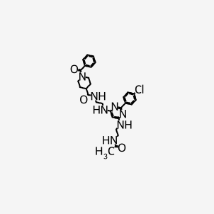 CC(=O)NCCNc1cc(NCCNC(=O)C2CCN(C(=O)c3ccccc3)CC2)nc(-c2ccc(Cl)cc2)n1